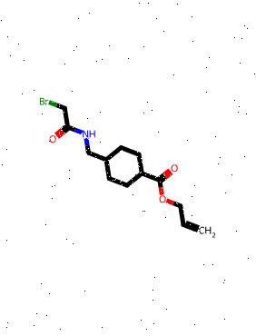 C=CCOC(=O)C1CCC(CNC(=O)CBr)CC1